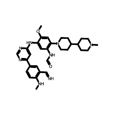 CNc1ccc(-c2cc(Nc3cc(NC=O)c(N4CCC(C5CCN(C)CC5)CC4)cc3OC)ncn2)cc1C=N